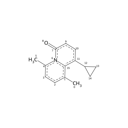 Cc1ccc(C)n2c(=O)ccc(C3CC3)c12